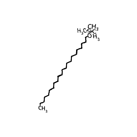 CCCCCCCCCCCCCCCCCCCCCCO[Si](C)(C)C